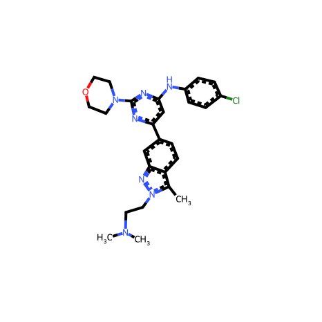 Cc1c2ccc(-c3cc(Nc4ccc(Cl)cc4)nc(N4CCOCC4)n3)cc2nn1CCN(C)C